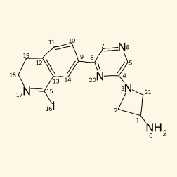 NC1CN(c2cncc(-c3ccc4c(c3)C(I)=NCC4)n2)C1